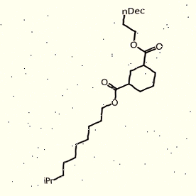 CCCCCCCCCCCCOC(=O)C1CCCC(C(=O)OCCCCCCCCC(C)C)C1